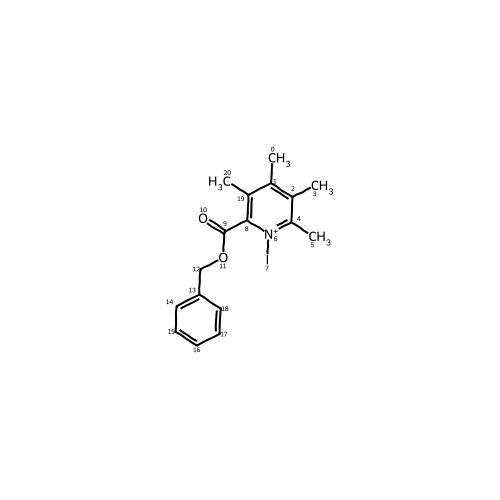 Cc1c(C)c(C)[n+](I)c(C(=O)OCc2ccccc2)c1C